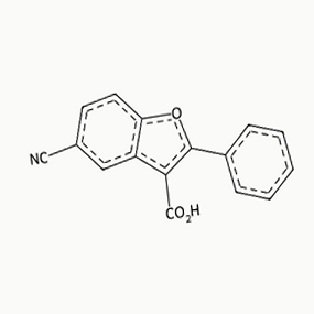 N#Cc1ccc2oc(-c3ccccc3)c(C(=O)O)c2c1